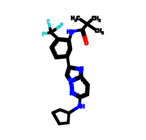 CC(C)(C)C(=O)Nc1cc(-c2cn3nc(NC4CCCC4)ccc3n2)ccc1C(F)(F)F